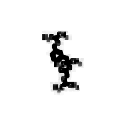 CC(C)OCC(=O)OC(C)(C)Cc1cccc(COC(C)C)c1